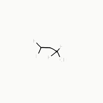 CC(F)(F)CC(F)F